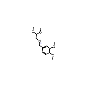 COc1ccc(/C=N/CC(OC)OC)cc1OC